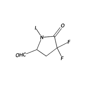 O=CC1CC(F)(F)C(=O)N1I